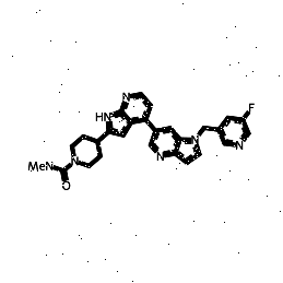 CNC(=O)N1CCC(c2cc3c(-c4cnc5ccn(Cc6cncc(F)c6)c5c4)ccnc3[nH]2)CC1